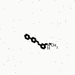 C=CNCc1cccc(CCc2ccc(-c3ccccc3)cc2)c1